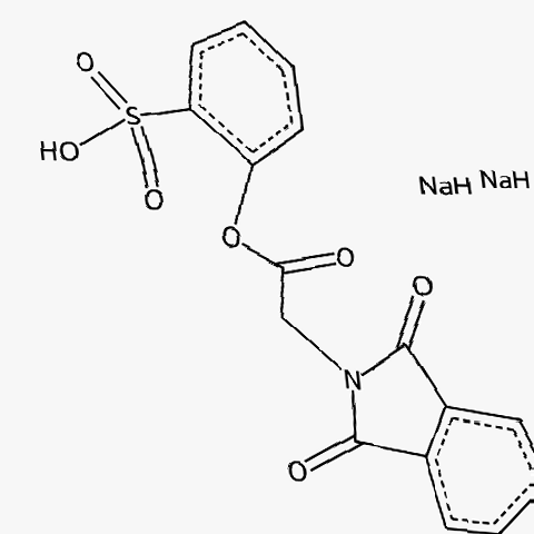 O=C(CN1C(=O)c2ccccc2C1=O)Oc1ccccc1S(=O)(=O)O.[NaH].[NaH]